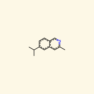 Cc1cc2cc(C(C)C)ccc2cn1